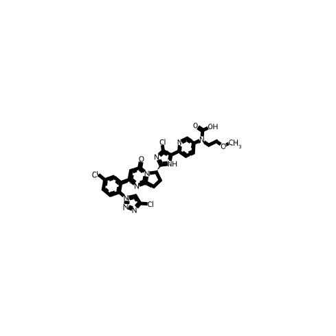 COCCN(C(=O)O)c1ccc(-c2[nH]c([C@@H]3CCc4nc(-c5cc(Cl)ccc5-n5cc(Cl)nn5)cc(=O)n43)nc2Cl)nc1